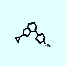 CC(C)(C)c1ccc(-c2cccc3c2C=C(C2CC2)C3)cc1